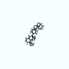 Brc1cccc2cc(-c3ccc(OC4CCCCO4)cc3)ncc12